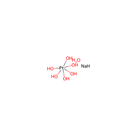 O.[NaH].[OH][Pt]([OH])([OH])([OH])([OH])[OH]